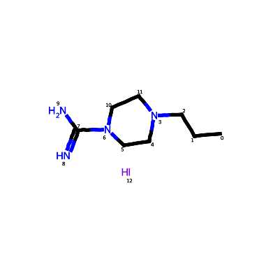 CCCN1CCN(C(=N)N)CC1.I